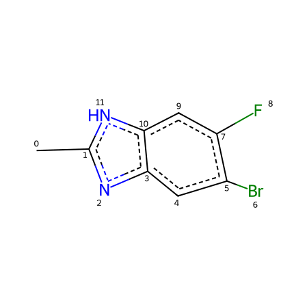 Cc1nc2cc(Br)c(F)cc2[nH]1